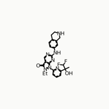 CCn1c(=O)c2cnc(Nc3ccc4c(c3)CNCC4)nc2n1-c1cccc(C(C)(O)C(F)F)n1